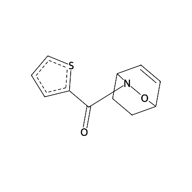 O=C(c1cccs1)N1OC2C=CC1CC2